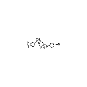 C[C@H](c1ccc2scnc2c1)N1CCC2(CC1)CN(c1ccc(C#N)cc1)CN2